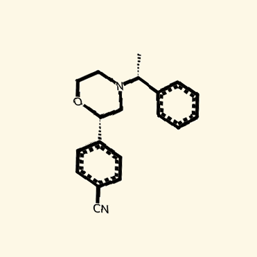 C[C@H](c1ccccc1)N1CCO[C@@H](c2ccc(C#N)cc2)C1